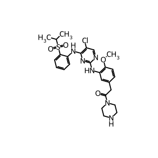 COc1ccc(CC(=O)N2CCNCC2)cc1Nc1ncc(Cl)c(Nc2ccccc2S(=O)(=O)C(C)C)n1